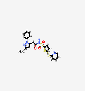 Cc1cc(CC(=O)NS(=O)(=O)c2ccc(Sc3ccccn3)s2)n(-c2ccccc2)n1